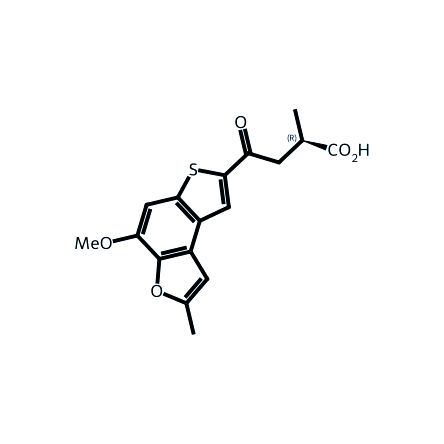 COc1cc2sc(C(=O)C[C@@H](C)C(=O)O)cc2c2cc(C)oc12